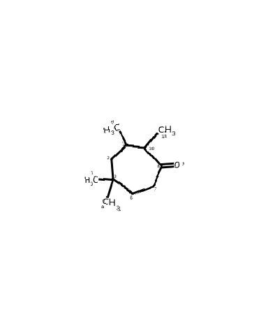 CC1CC(C)(C)CCC(=O)C1C